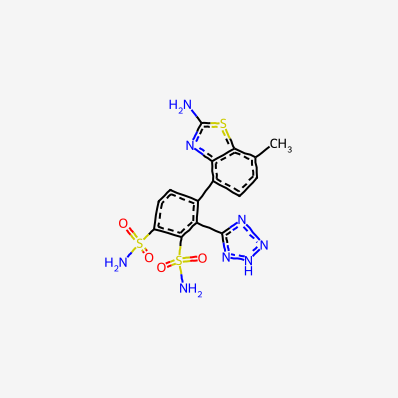 Cc1ccc(-c2ccc(S(N)(=O)=O)c(S(N)(=O)=O)c2-c2nn[nH]n2)c2nc(N)sc12